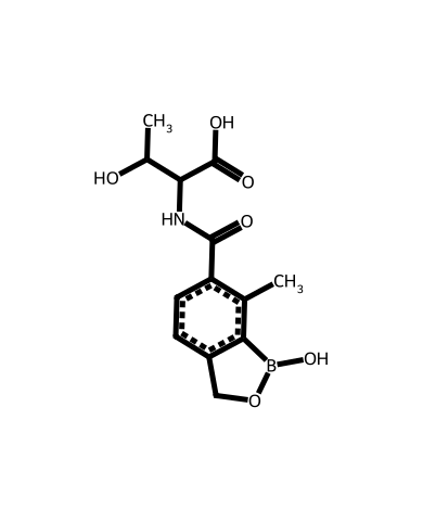 Cc1c(C(=O)NC(C(=O)O)C(C)O)ccc2c1B(O)OC2